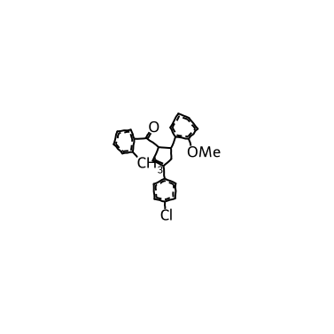 COc1ccccc1C1CC(c2ccc(Cl)cc2)=CC1C(=O)c1ccccc1C